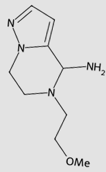 COCCN1CCn2nccc2C1N